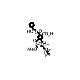 COCCOC(=O)c1cc(C(=O)OCC(O)c2ccccc2)c(C(=O)O)cc1C(=O)OCC(O)COC(F)(F)C(F)F